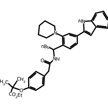 CCCCC(NC(=O)Cc1ccc(OC(C)(C)C(=O)OCC)cc1)c1ccc(-c2cc3ccccc3[nH]2)cc1N1CCCCC1